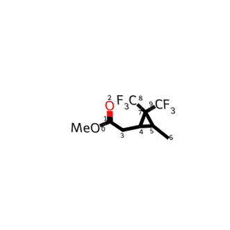 COC(=O)CC1C(C)C1(C(F)(F)F)C(F)(F)F